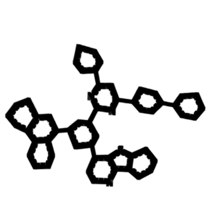 c1ccc(-c2ccc(-c3cc(-c4ccccc4)nc(-c4cc(-c5cc6ccccc6c6ccccc56)cc(-c5ccnc6c5sc5ccccc56)c4)n3)cc2)cc1